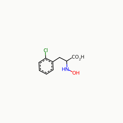 O=C(O)C(Cc1ccccc1Cl)NO